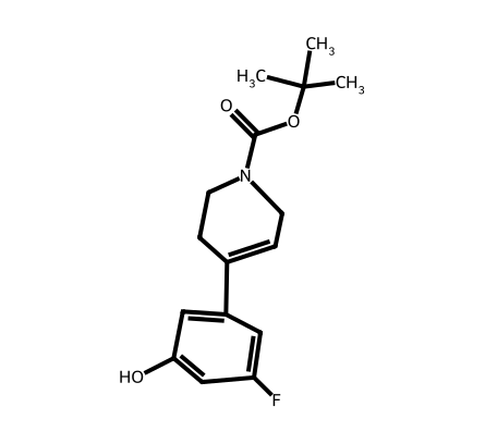 CC(C)(C)OC(=O)N1CC=C(c2cc(O)cc(F)c2)CC1